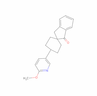 COc1ccc(C2CCC3(CC2)Cc2ccccc2C3=O)cn1